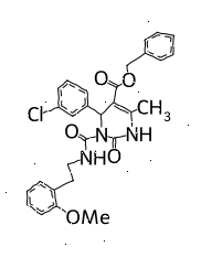 COc1ccccc1CCNC(=O)N1C(=O)NC(C)=C(C(=O)OCc2ccccc2)C1c1cccc(Cl)c1